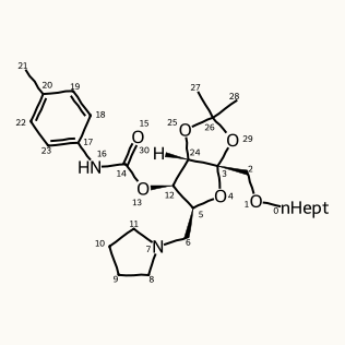 CCCCCCCOC[C@@]12O[C@@H](CN3CCCC3)[C@@H](OC(=O)Nc3ccc(C)cc3)[C@@H]1OC(C)(C)O2